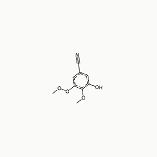 COOc1cc(C#N)cc(O)c1OC